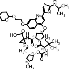 C=C[C@@H]1C[C@]1(NC(=O)[C@@H]1C[C@@H](Oc2cc(-c3csc(NC(C)C)n3)nc3cc(OCCOC4CCCCO4)ccc23)CN1C(=O)[C@@H](NC(=O)O[C@H]1CC[C@@H](C)C1)C(C)(C)C)C(=O)O